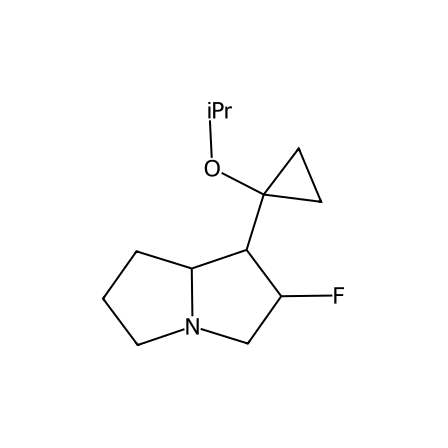 CC(C)OC1(C2C(F)CN3CCCC23)CC1